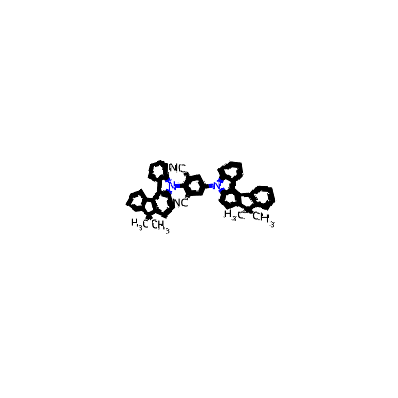 CC1(C)c2ccccc2-c2c1ccc1c2c2ccccc2n1-c1cc(C#N)c(-n2c3ccccc3c3c4c(ccc32)C(C)(C)c2ccccc2-4)c(C#N)c1